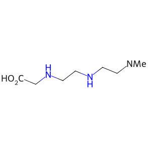 CNCCNCCNCC(=O)O